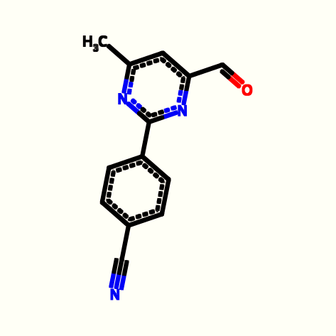 Cc1cc(C=O)nc(-c2ccc(C#N)cc2)n1